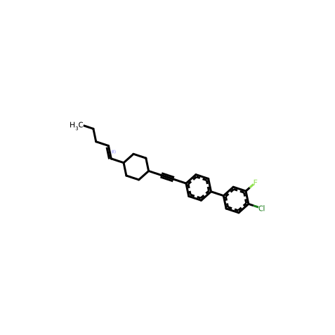 CCC/C=C/C1CCC(C#Cc2ccc(-c3ccc(Cl)c(F)c3)cc2)CC1